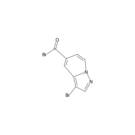 O=C(Br)c1ccn2ncc(Br)c2c1